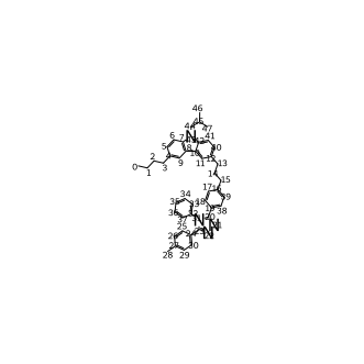 CCCCc1ccc2c(c1)c1cc(CCCc3ccc(-c4nnc(-c5ccc(C)cc5)n4-c4ccccc4)cc3)ccc1n2CC(C)C